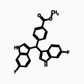 COC(=O)c1ccc(C(c2c[nH]c3cc(F)ccc23)c2c[nH]c3cc(F)ccc23)cc1